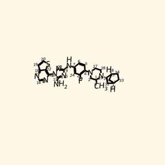 CC1CN(c2ccc(Nc3nc(N)n(-c4ncnc5ccsc45)n3)cc2F)CCN1[C@H]1C[C@@H]2CC[C@H]1C2